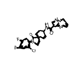 O=C(NC1CCC2(CC1)CCN(c1cc(F)c(F)cc1Cl)C2=O)c1cnn2cccnc12